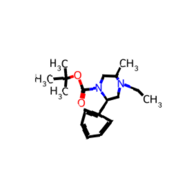 CCN1CC(c2ccccc2)N(C(=O)OC(C)(C)C)CC1C